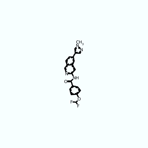 Cn1cc(-c2ccc3cnc(NC(=O)c4ccc(OC(F)F)cc4)cc3c2)cn1